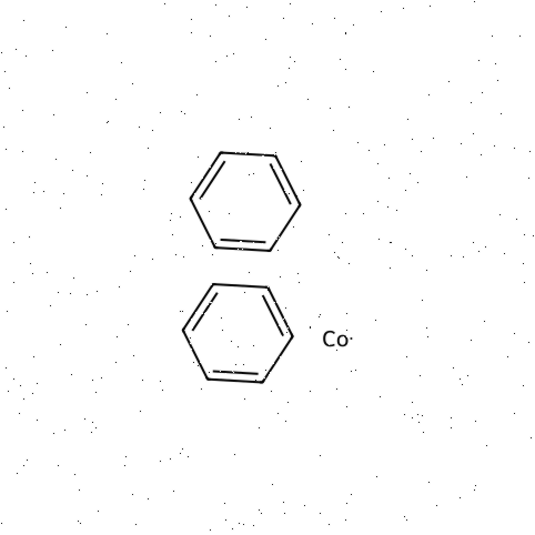 [Co].c1ccccc1.c1ccccc1